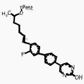 CCCCCOC(C)CCC/C=C/c1ccc(-c2ccc(-c3cnc(O)nc3)cc2)cc1F